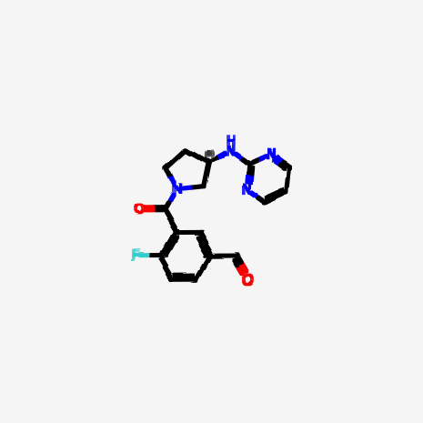 O=Cc1ccc(F)c(C(=O)N2CC[C@@H](Nc3ncccn3)C2)c1